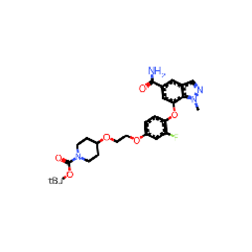 Cn1ncc2cc(C(N)=O)cc(Oc3ccc(OCCOC4CCN(C(=O)OC(C)(C)C)CC4)cc3F)c21